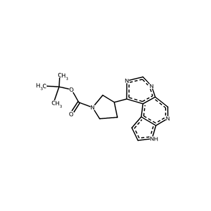 CC(C)(C)OC(=O)N1CCC(c2ncnc3cnc4[nH]ccc4c23)C1